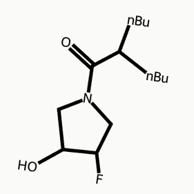 CCCCC(CCCC)C(=O)N1CC(O)C(F)C1